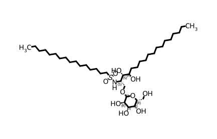 CCCCCCCCCCCCCCCCS(=O)(=O)N[C@@H](CO[C@H]1O[C@H](CO)[C@H](O)[C@H](O)[C@H]1O)[C@H](O)[C@H](O)CCCCCCCCCCCCCC